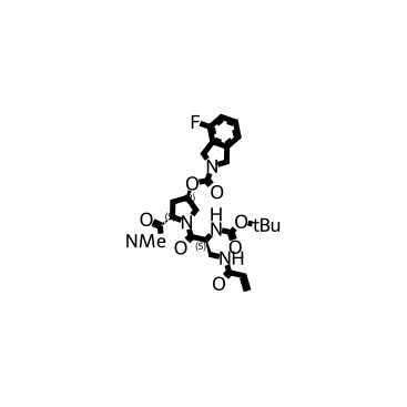 C=CC(=O)NC[C@H](NC(=O)OC(C)(C)C)C(=O)N1C[C@H](OC(=O)N2Cc3cccc(F)c3C2)C[C@H]1C(=O)NC